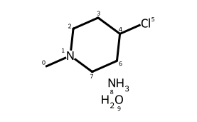 CN1CCC(Cl)CC1.N.O